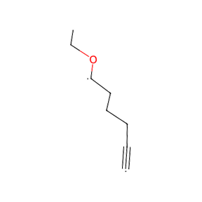 [C]#CCCC[CH]OCC